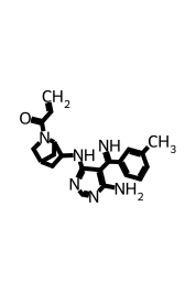 C=CC(=O)N1CC2CC(Nc3ncnc(N)c3C(=N)c3cccc(C)c3)C1C2